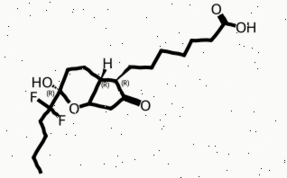 CCCCC(F)(F)[C@@]1(O)CC[C@H]2C(CC(=O)[C@@H]2CCCCCCC(=O)O)O1